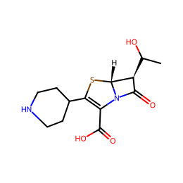 CC(O)[C@H]1C(=O)N2C(C(=O)O)=C(C3CCNCC3)S[C@H]12